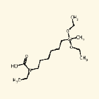 CCO[Si](C)(CCCCCCN(CC)C(=O)O)OCC